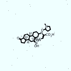 CN1CCCC1ON(/C(=C\C(=O)O)C(=O)O)C1CC[C@]2(C)[C@H]3CC[C@]4(C)C(=O)CC[C@H]4[C@@H]3C/C(=N\O)[C@@]2(O)C1